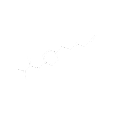 C#CCOCOc1ccc(NC(=O)N(C)C)cc1